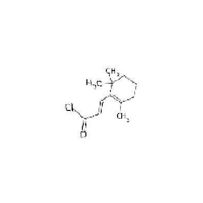 CC1=C(/C=C/C(=O)Cl)C(C)(C)CCC1